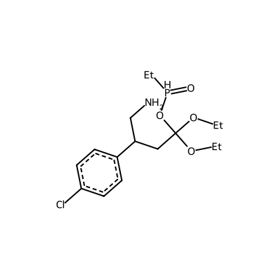 CCOC(CC(CN)c1ccc(Cl)cc1)(OCC)O[PH](=O)CC